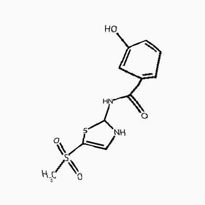 CS(=O)(=O)C1=CNC(NC(=O)c2cccc(O)c2)S1